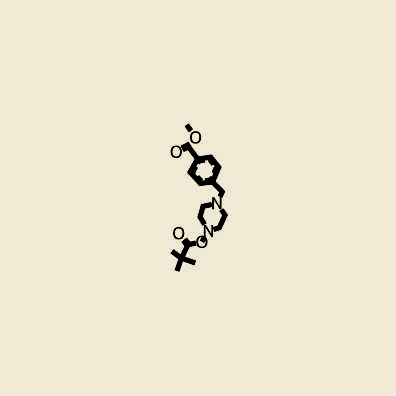 COC(=O)c1ccc(CN2CCN(OC(=O)C(C)(C)C)CC2)cc1